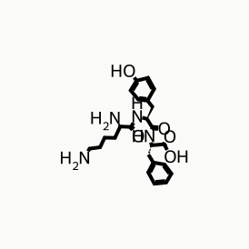 NCCCC[C@H](N)C(=O)N[C@@H](Cc1ccc(O)cc1)C(=O)N[C@@H](Cc1ccccc1)C(=O)O